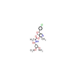 Cc1ncc2c(c1OC(=O)[C@@H](C)NC(=O)[C@@H]1C[C@H](O[N+](=O)[O-])[C@H](O[N+](=O)[O-])C1)COC2c1ccc(Cl)cc1